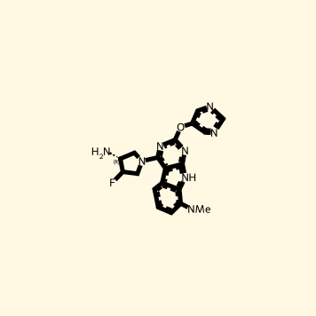 CNc1cccc2c1[nH]c1nc(Oc3cncnc3)nc(N3CC(F)[C@H](N)C3)c12